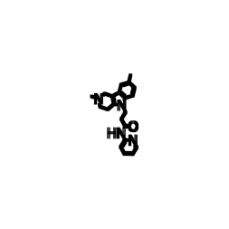 Cc1ccc2c(c1)c1c(n2CCC(=O)Nc2ccccn2)CCN(C)C1